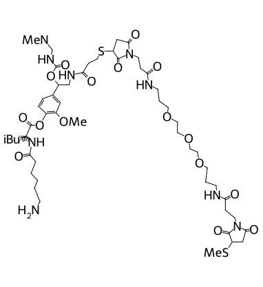 CC[C@H](C)[C@H](NC(=O)CCCCCN)C(=O)Oc1ccc(C(CNC(=O)CCSC2CC(=O)N(CCC(=O)NCCCOCCOCCOCCCNC(=O)CCN3C(=O)CC(SC)C3=O)C2=O)OC(=O)NCNC)cc1OC